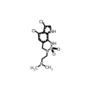 CN(C)CCN1Cc2cc(Cl)c3c(Cl)c[nH]c3c2NS1(=O)=O